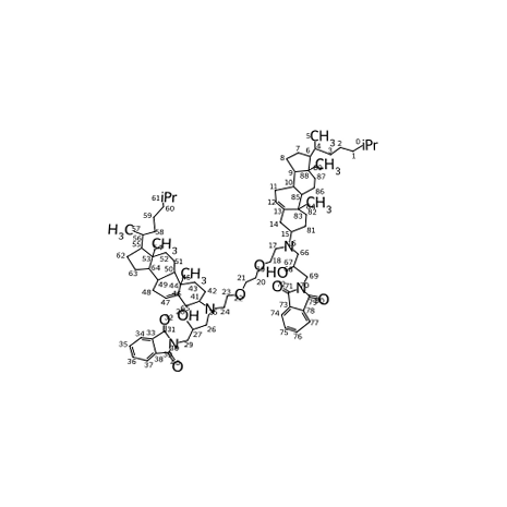 CC(C)CCCC(C)C1CCC2C3CC=C4CC(N(CCOCCOCCN(CC(O)CN5C(=O)c6ccccc6C5=O)C5CCC6(C)C(=CCC7C6CCC6(C)C(C(C)CCCC(C)C)CCC76)C5)CC(O)CN5C(=O)c6ccccc6C5=O)CCC4(C)C3CCC12C